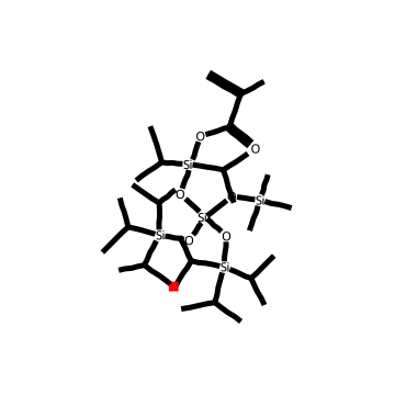 C=C(C)C(=O)O[Si](O[Si](O[Si](C)(C)C)(O[Si](C(C)C)(C(C)C)C(C)C)O[Si](C(C)C)(C(C)C)C(C)C)(C(C)C)C(C)C